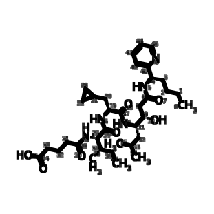 CCCC[C@@H](NC(=O)C[C@H](O)[C@H](CC(C)C)NC(=O)[C@H](CC1CC1)NC(=O)[C@@H](NC(=O)CCCC(=O)O)[C@@H](C)CC)c1ccccn1